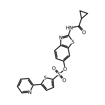 O=C(Nc1nc2ccc(OS(=O)(=O)c3ccc(-c4ccccn4)s3)cc2s1)C1CC1